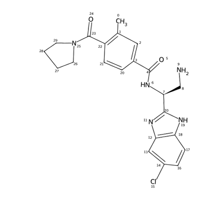 Cc1cc(C(=O)N[C@@H](CN)c2nc3cc(Cl)ccc3[nH]2)ccc1C(=O)N1CCCC1